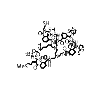 CCCCOC1C(C(=O)NCCN(CCNC(=O)C2=CCCC(C(=O)N3CCSC3=S)[C@@H]2OCCCC)CCN(CCNC(=O)C2=CCCC(C(=O)N3CCSC3=S)[C@@H]2OCCCC)CC(CCCCNC(=O)OC(C)(C)C)NC(=O)C2=CCC[C@@H](C(=O)N(CS)CCS)C2OCCCC)=CCC[C@H]1C(=O)/C(=C\CCSC)CS